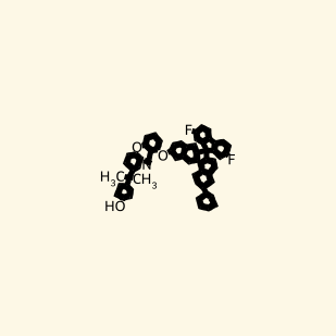 CC(C)(c1ccc(O)cc1)c1ccc(Oc2cccc(Oc3ccc4cc(C5(c6ccc7cc(-c8ccccc8)ccc7c6)c6cc(F)ccc6-c6ccc(F)cc65)ccc4c3)c2C#N)cc1